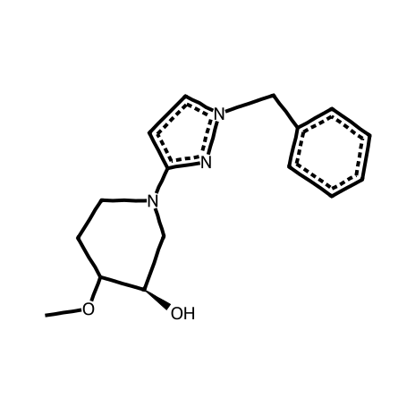 COC1CCN(c2ccn(Cc3ccccc3)n2)C[C@H]1O